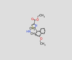 CCOC(=O)c1csc(-c2ccc(OCC)c3ccccc23)n1.CNC